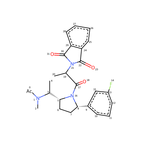 CC(=O)N(C)C(C)[C@H]1CC[C@@H](c2cccc(F)c2)N1C(=O)C(C)N1C(=O)c2ccccc2C1=O